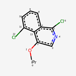 CC(C)Oc1cnc(Cl)c2cccc(Cl)c12